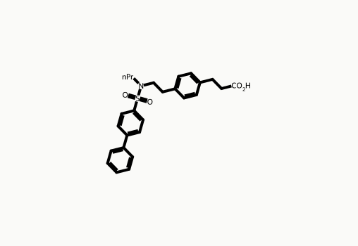 CCCN(CCc1ccc(CCC(=O)O)cc1)S(=O)(=O)c1ccc(-c2ccccc2)cc1